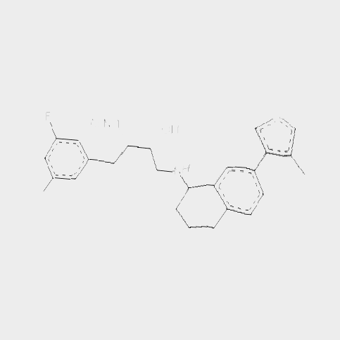 CC(=O)N[C@@H](Cc1cc(F)cc(F)c1)[C@H](O)CNC1CCCc2ccc(-c3cscc3C)cc21